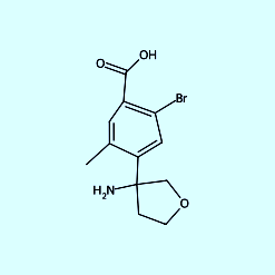 Cc1cc(C(=O)O)c(Br)cc1C1(N)CCOC1